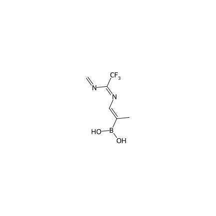 C=N/C(=N\C=C(/C)B(O)O)C(F)(F)F